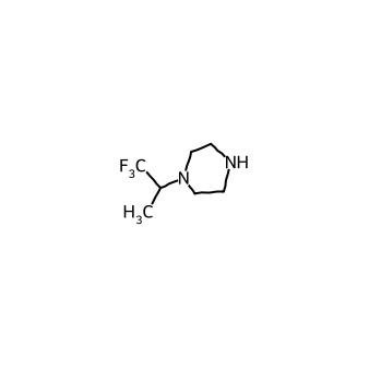 CC(N1CCNCC1)C(F)(F)F